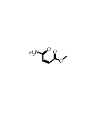 COC(=O)/C=C\C(N)=O